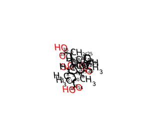 CC(=CCOC(=O)C(C)=C(C=C(C)C(=O)O)C(=C(C)C(=O)OC1C[C@H]2CC[C@@]1(C)C2(C)C)C(C)(C)C)C(=O)O